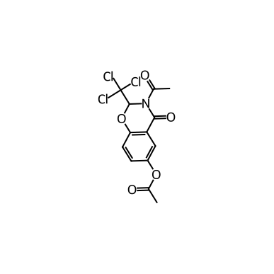 CC(=O)Oc1ccc2c(c1)C(=O)N(C(C)=O)C(C(Cl)(Cl)Cl)O2